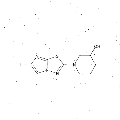 OC1CCCN(c2nn3cc(I)nc3s2)C1